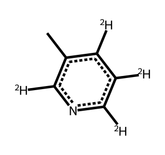 [2H]c1nc([2H])c(C)c([2H])c1[2H]